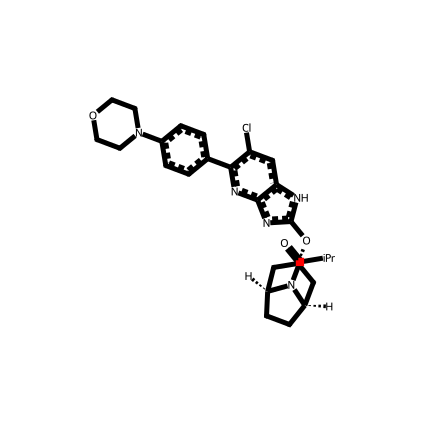 CC(C)C(=O)N1[C@@H]2CC[C@H]1C[C@H](Oc1nc3nc(-c4ccc(N5CCOCC5)cc4)c(Cl)cc3[nH]1)C2